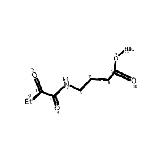 CCC(=O)C(=O)NCCCC(=O)OC(C)(C)C